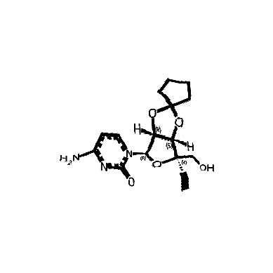 C#C[C@]1(CO)O[C@@H](n2ccc(N)nc2=O)[C@@H]2OC3(CCCC3)O[C@@H]21